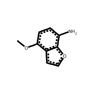 COc1ccc(N)c2occc12